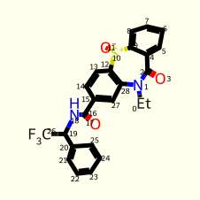 CCN1C(=O)c2ccccc2[S+]([O-])c2ccc(C(=O)NC(c3ccccc3)C(F)(F)F)cc21